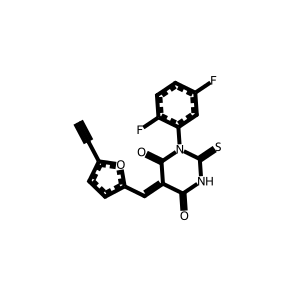 C#Cc1ccc(C=C2C(=O)NC(=S)N(c3cc(F)ccc3F)C2=O)o1